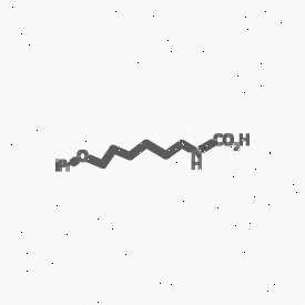 CC(C)OCCCCCCNC(=O)O